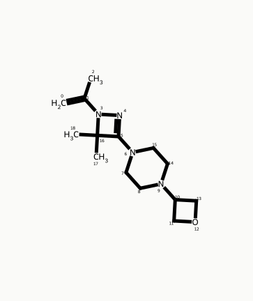 C=C(C)N1N=C(N2CCN(C3COC3)CC2)C1(C)C